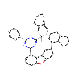 CC1(c2nc(-c3ccccc3)nc(-c3cccc4oc5ccc(-c6cccc7ccccc67)cc5c34)n2)C=c2ccccc2=CC1